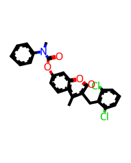 Cc1c(Cc2c(Cl)cccc2Cl)c(=O)oc2cc(OC(=O)N(C)c3ccccc3)ccc12